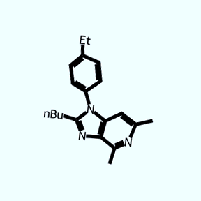 [CH2]Cc1ccc(-n2c(CCCC)nc3c(C)nc(C)cc32)cc1